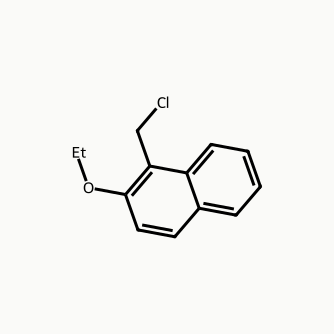 CCOc1ccc2ccccc2c1CCl